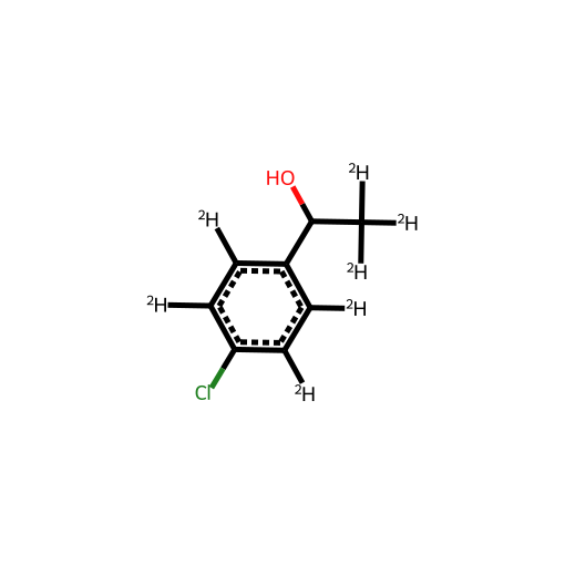 [2H]c1c([2H])c(C(O)C([2H])([2H])[2H])c([2H])c([2H])c1Cl